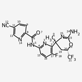 C[C@]1(c2nc(NC(=O)c3ccc(C#N)cn3)ccc2F)C[C@@H](C(F)(F)F)OC(N)=N1